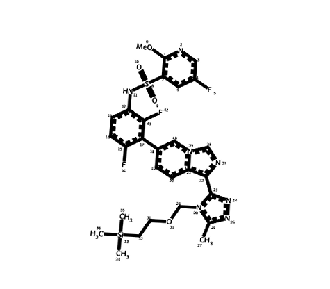 COc1ncc(F)cc1S(=O)(=O)Nc1ccc(F)c(-c2ccc3c(-c4nnc(C)n4COCC[Si](C)(C)C)ncn3c2)c1F